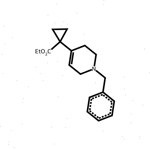 CCOC(=O)C1(C2=CCN(Cc3ccccc3)CC2)CC1